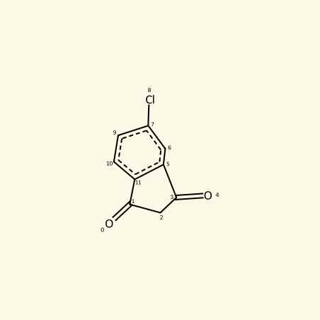 O=C1CC(=O)c2cc(Cl)ccc21